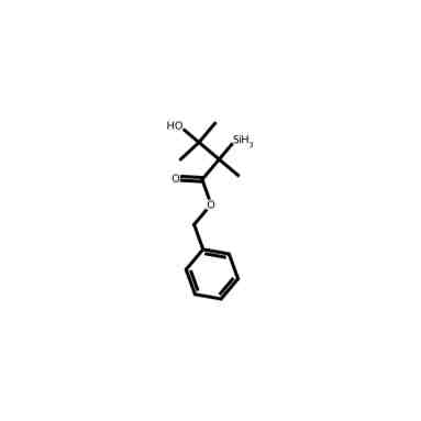 CC(C)(O)C(C)([SiH3])C(=O)OCc1ccccc1